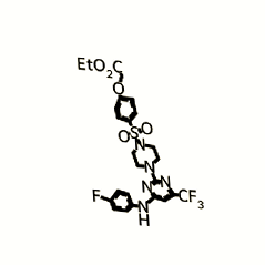 CCOC(=O)COc1ccc(S(=O)(=O)N2CCN(c3nc(Nc4ccc(F)cc4)cc(C(F)(F)F)n3)CC2)cc1